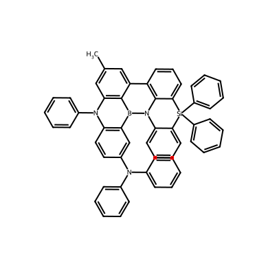 Cc1cc2c3c(c1)N(c1ccccc1)c1ccc(N(c4ccccc4)c4ccccc4)cc1B3N1c3ccccc3[Si](c3ccccc3)(c3ccccc3)c3cccc-2c31